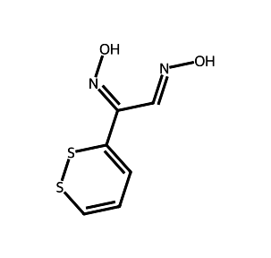 ON=CC(=NO)C1=CC=CSS1